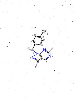 Cc1ncc2c(I)nn(C(C)c3ccc(C(F)(F)F)cc3)c2n1